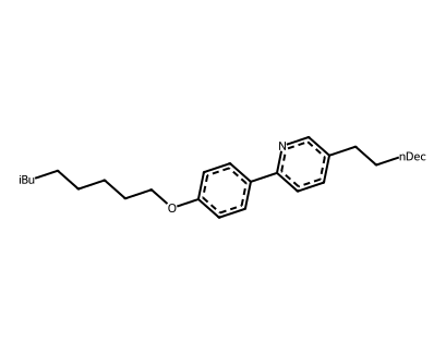 CCCCCCCCCCCCc1ccc(-c2ccc(OCCCCCC(C)CC)cc2)nc1